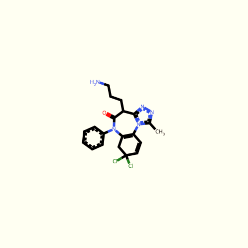 Cc1nnc2n1C1=C(CC(Cl)(Cl)C=C1)N(c1ccccc1)C(=O)C2CCCN